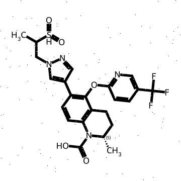 CC(Cn1cc(-c2ccc3c(c2Oc2ccc(C(F)(F)F)cn2)CC[C@H](C)N3C(=O)O)cn1)[SH](=O)=O